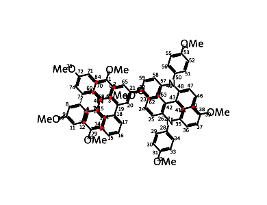 COc1ccc(N(c2ccc(OC)cc2)c2ccccc2-c2cc(Oc3ccc(N(c4ccc(OC)cc4)c4ccc(OC)cc4)c(-c4ccccc4N(c4ccc(OC)cc4)c4ccc(OC)cc4)c3)ccc2N(c2ccc(OC)cc2)c2ccc(OC)cc2)cc1